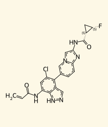 C=CC(=O)Nc1cc(Cl)c(-c2ccc3nc(NC(=O)[C@@H]4C[C@@H]4F)cn3c2)c2cn[nH]c12